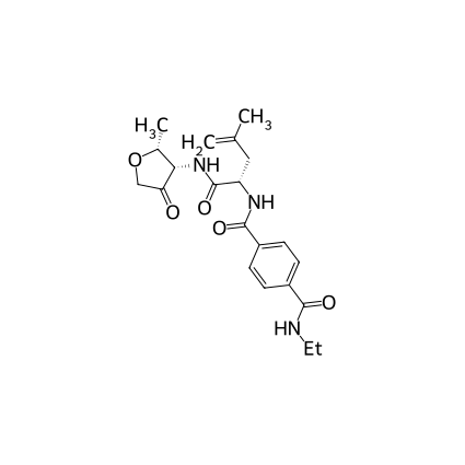 C=C(C)C[C@H](NC(=O)c1ccc(C(=O)NCC)cc1)C(=O)N[C@@H]1C(=O)CO[C@@H]1C